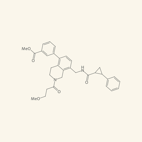 COCCC(=O)N1CCc2c(-c3cccc(C(=O)OC)c3)ccc(CNC(=O)C3CC3c3ccccc3)c2C1